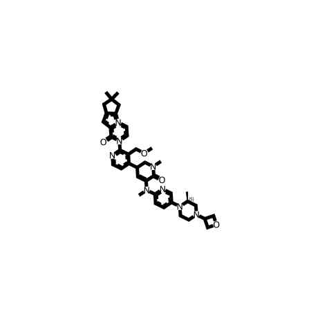 COCc1c(C2C=C(N(C)c3ccc(N4CCN(C5COC5)C[C@@H]4C)cn3)C(=O)N(C)C2)ccnc1-n1ccn2c3c(cc2c1=O)CC(C)(C)C3